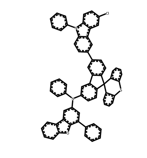 Clc1ccc2c(c1)c1cc(-c3ccc4c(c3)-c3cc(N(c5ccccc5)c5cc(-c6ccccc6)c6oc7ccccc7c6c5)ccc3C43c4ccccc4Sc4ccccc43)ccc1n2-c1ccccc1